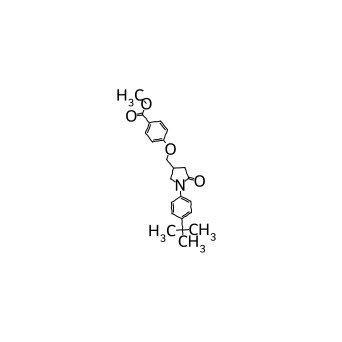 COC(=O)c1ccc(OCC2CC(=O)N(c3ccc(C(C)(C)C)cc3)C2)cc1